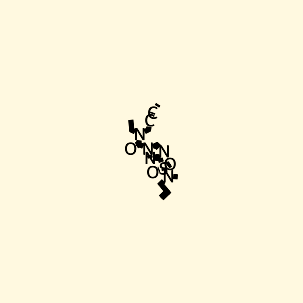 C=CCN(C)S(=O)(=O)c1ncn(C(=O)N(CC)CCCC)n1